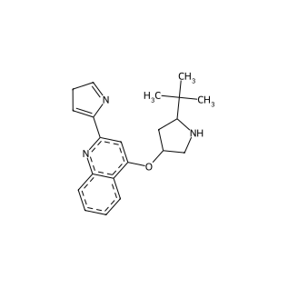 CC(C)(C)C1CC(Oc2cc(C3=CCC=N3)nc3ccccc23)CN1